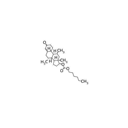 CCCCCCOC(=O)O[C@H]1CC[C@H]2[C@H]3[C@H]([C@@H](C)C[C@]12C)[C@H]1CCC(=O)C=C1C[C@H]3C